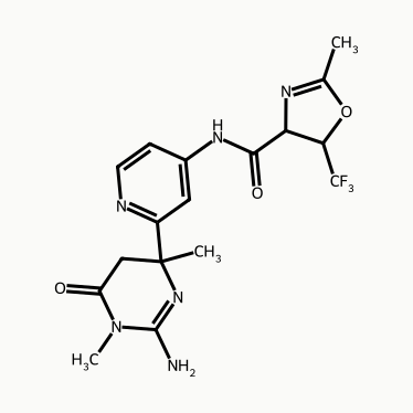 CC1=NC(C(=O)Nc2ccnc(C3(C)CC(=O)N(C)C(N)=N3)c2)C(C(F)(F)F)O1